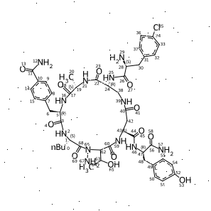 CCCC[C@@H]1NC(=O)[C@@H](Cc2ccc(C(N)=O)cc2)NC(=O)[C@H](C)NC(=O)[C@H](NC(=O)[C@@H](N)Cc2ccc(Cl)cc2)CNC(=O)C[C@@H](C(=O)N[C@H](Cc2ccc(O)cc2)C(N)=O)NC(=O)C(C(C)O)N(N)C1=O